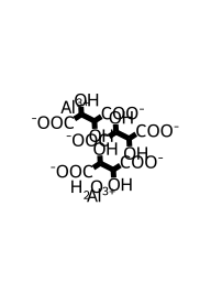 O.O=C([O-])C(O)C(O)C(=O)[O-].O=C([O-])C(O)C(O)C(=O)[O-].O=C([O-])C(O)C(O)C(=O)[O-].[Al+3].[Al+3]